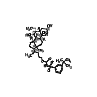 CC[C@H]1[C@@H](O)[C@@H]2[C@H](CC[C@]3(C)[C@@H]([C@H](C)CCCOC(=O)NS(=O)(=O)c4cccc(C(C)(C)C)c4)CC[C@@H]23)[C@@]2(C)CC[C@@H](O)C[C@@H]12